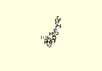 C=N/C(=C\N=C(/C)C(=O)Nc1ccc(F)c([C@@]2(CF)N=C(N)O[C@@H]3CCOC[C@@H]32)c1)OCC(F)(F)F